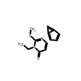 CCn1c(SC)nccc1=O.c1cc2cc-2c1